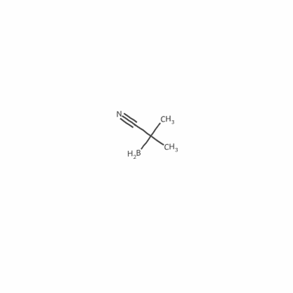 BC(C)(C)C#N